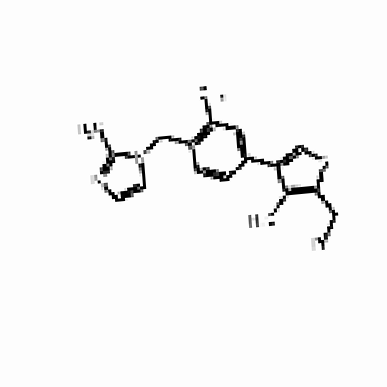 Cc1cc(-c2csc(CC(C)C)c2C)ccc1Cn1ccnc1C